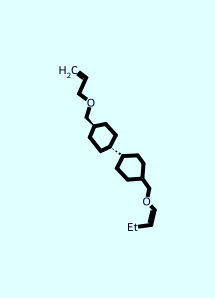 C=CCOC[C@H]1CC[C@H](C2CCC(CO/C=C\CC)CC2)CC1